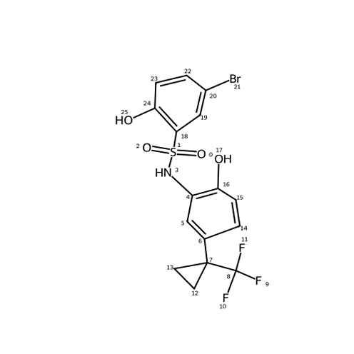 O=S(=O)(Nc1cc(C2(C(F)(F)F)CC2)ccc1O)c1cc(Br)ccc1O